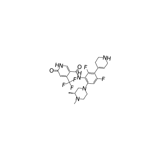 C[C@H]1CN(c2cc(F)c(C3=CCNCC3)c(F)c2NC(=O)c2c[nH]c(=O)cc2C(F)(F)F)CCN1C